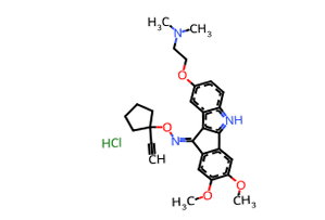 C#CC1(O/N=C2/c3cc(OC)c(OC)cc3-c3[nH]c4ccc(OCCN(C)C)cc4c32)CCCC1.Cl